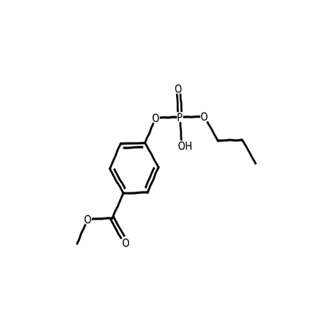 CCCOP(=O)(O)Oc1ccc(C(=O)OC)cc1